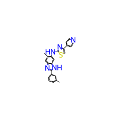 Cc1cccc(-c2nc3cc(C)c(Nc4nc(-c5ccncc5)cs4)cc3[nH]2)c1